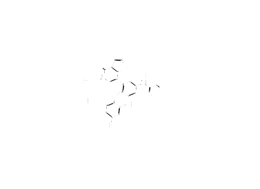 C=CC(=O)Nc1ccc(Oc2c(C)cc(F)cc2C)c(-c2cn(C)c(=O)c3ccoc23)c1